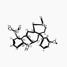 COc1cccc(C23CCN(C)CC2Cc2c([nH]c4cccc([N+](=O)[O-])c24)C3)c1